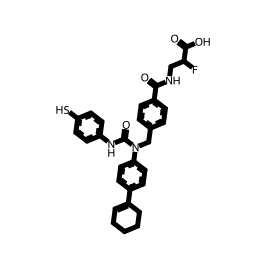 O=C(NCC(F)C(=O)O)c1ccc(CN(C(=O)Nc2ccc(S)cc2)c2ccc(C3=CCCCC3)cc2)cc1